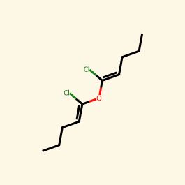 CCC/C=C(\Cl)O/C(Cl)=C/CCC